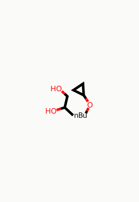 CC(O)CO.CCCCOC1CC1